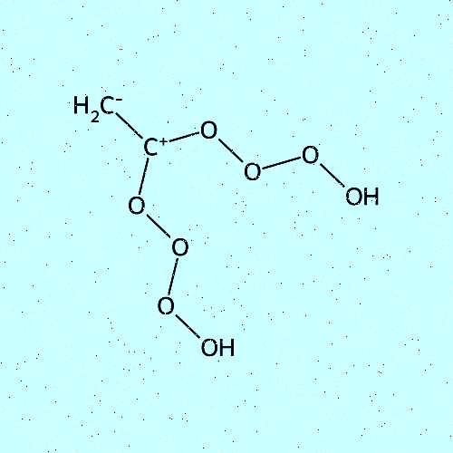 [CH2-][C+](OOOO)OOOO